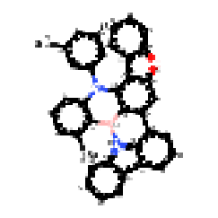 CC(C)(C)c1cc(N2c3cccc(C(C)(C)C)c3B3c4c(cc5oc6ccccc6c5c42)-c2cccc4c5ccccc5n3c24)cc(C(C)(C)C)c1